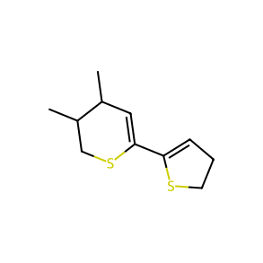 CC1C=C(C2=CCCS2)SCC1C